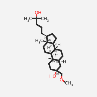 COC[C@]1(O)CC[C@H]2[C@@H](CC[C@@H]3[C@@H]2CC[C@]2(C)[C@@H](CCCC(C)(C)O)CC[C@@H]32)C1